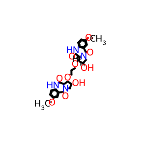 COc1ccc2c(c1)C(=O)N1CC(O)C(OCCCOC3[C@H](O)CN4C(=O)c5cc(OC)ccc5NC(=O)[C@H]34)C1C(=O)N2